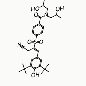 CC(O)CN(CC(C)O)C(=O)c1ccc(S(=O)(=O)/C(=C/c2cc(C(C)(C)C)c(O)c(C(C)(C)C)c2)CC#N)cc1